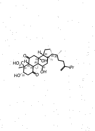 C=C(CC[C@@H](C)[C@H]1CC[C@@H]2[C@]1(C)C[C@@H](O)[C@@]13C[C@@]14C(=O)C[C@H](O)[C@@](C)(C(=O)O)[C@@H]4C(=O)C[C@]23O)C(C)C